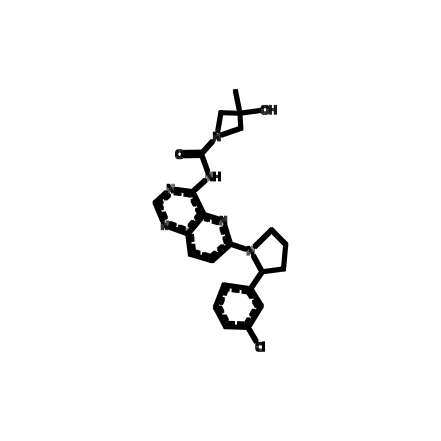 CC1(O)CN(C(=O)Nc2ncnc3ccc(N4CCCC4c4cccc(Cl)c4)nc23)C1